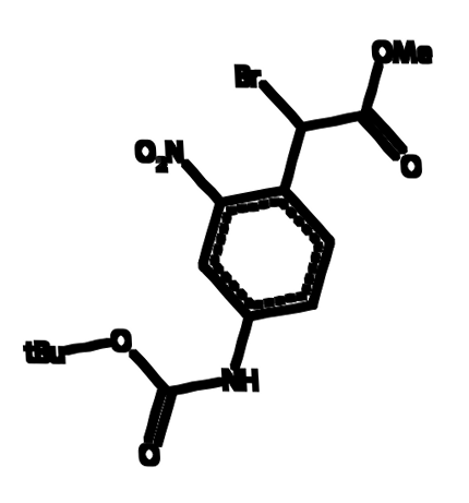 COC(=O)C(Br)c1ccc(NC(=O)OC(C)(C)C)cc1[N+](=O)[O-]